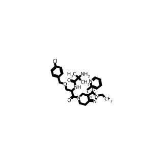 CC(C)(N)C(=O)NC(COCc1ccc(Cl)cc1)C(=O)N1CCC2=NN(CC(F)(F)F)C(=O)[C@]2(Cc2ccccn2)C1